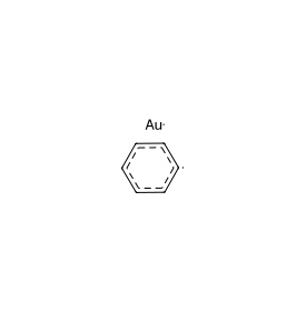 [Au].[c]1ccccc1